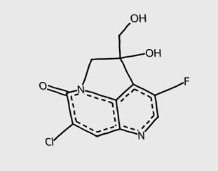 O=c1c(Cl)cc2ncc(F)c3c2n1CC3(O)CO